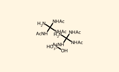 CC(=O)NC(N)(NC(C)=O)NC(C)=O.CC(=O)NC(N)(NC(C)=O)NC(C)=O.O=S(=O)(O)O